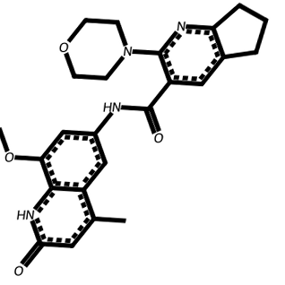 COc1cc(NC(=O)c2cc3c(nc2N2CCOCC2)CCC3)cc2c(C)cc(=O)[nH]c12